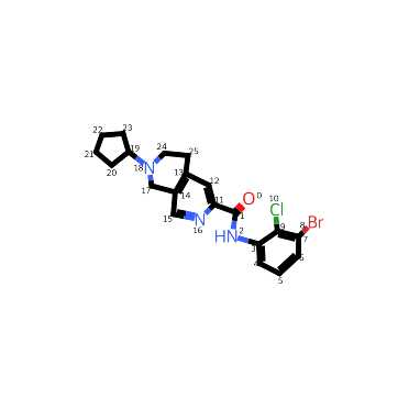 O=C(Nc1cccc(Br)c1Cl)c1cc2c(cn1)CN(C1CCCC1)CC2